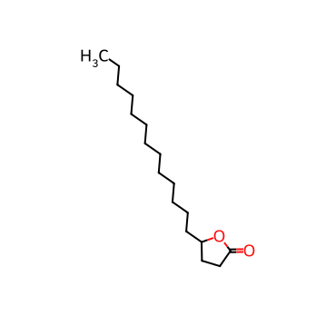 CCCCCCCCCCCCCC1CCC(=O)O1